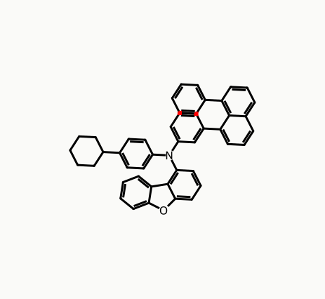 c1ccc(-c2cccc3cccc(-c4cccc(N(c5ccc(C6CCCCC6)cc5)c5cccc6oc7ccccc7c56)c4)c23)cc1